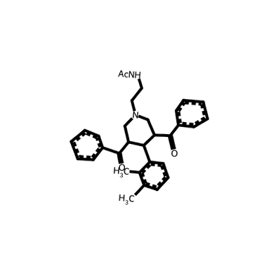 CC(=O)NCCN1CC(C(=O)c2ccccc2)C(c2cccc(C)c2C)C(C(=O)c2ccccc2)C1